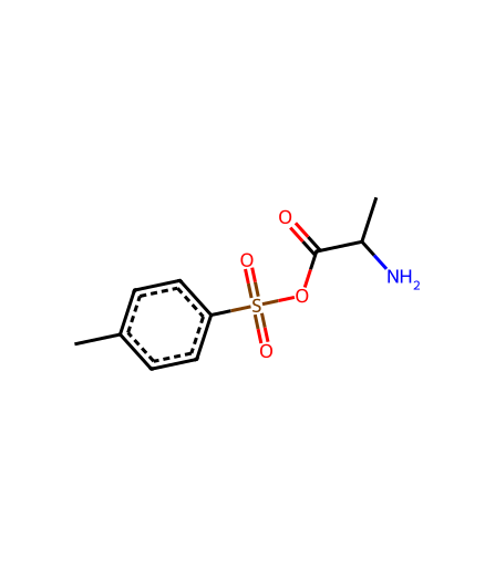 Cc1ccc(S(=O)(=O)OC(=O)C(C)N)cc1